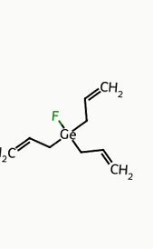 C=C[CH2][Ge]([F])([CH2]C=C)[CH2]C=C